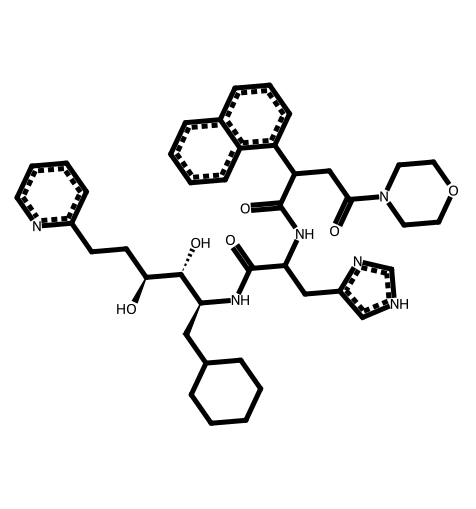 O=C(N[C@@H](CC1CCCCC1)[C@@H](O)[C@@H](O)CCc1ccccn1)C(Cc1c[nH]cn1)NC(=O)C(CC(=O)N1CCOCC1)c1cccc2ccccc12